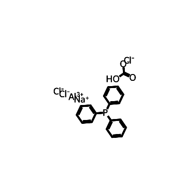 O=C([O-])O.[Al+3].[Cl-].[Cl-].[Cl-].[Na+].c1ccc(P(c2ccccc2)c2ccccc2)cc1